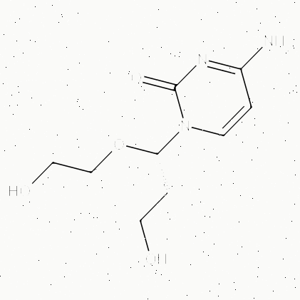 Nc1ccn([C@H](CCO)OCCO)c(=O)n1